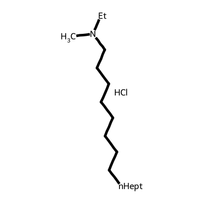 CCCCCCCCCCCCCCCN(C)CC.Cl